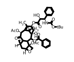 CC(=O)O[C@H]1C(=O)[C@]23C[C@H]2C[C@H]2OC[C@@]2(OC(C)=O)C3C(OC(=O)c2ccccc2)[C@]2(O)C[C@H](OC(=O)[C@H](O)[C@@H](NC(=O)OC(C)(C)C)c3ccccc3)C(C)=C1C2(C)C